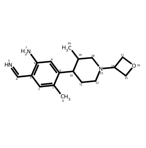 Cc1cc(C=N)c(N)cc1C1CCN(C2COC2)CC1C